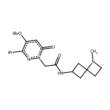 CC(C)COc1cc(=O)n(CC(=O)NC2CC3(CCN3C)C2)nc1C(C)C